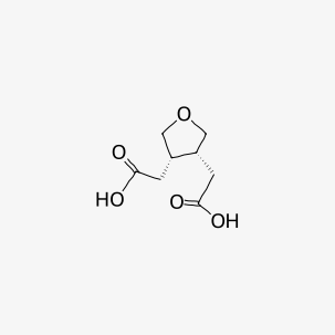 O=C(O)C[C@H]1COC[C@H]1CC(=O)O